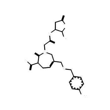 COc1ccc(CNCC2=CCC(C(N)=O)C(=O)N(CC(=O)NC3CC(=O)OC3O)C2)cc1